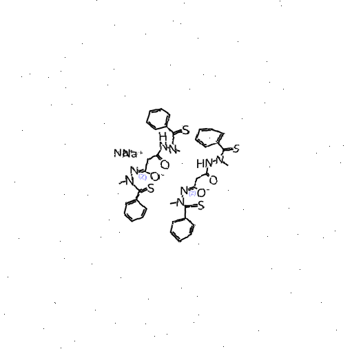 CN(/N=C(\[O-])CC(=O)NN(C)C(=S)c1ccccc1)C(=S)c1ccccc1.CN(/N=C(\[O-])CC(=O)NN(C)C(=S)c1ccccc1)C(=S)c1ccccc1.[Na+].[Na+]